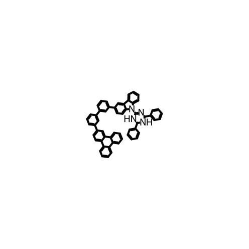 c1ccc(C2N=C(n3c4ccccc4c4cc(-c5cccc(-c6cccc(-c7ccc8c9ccccc9c9ccccc9c8c7)c6)c5)ccc43)NC(c3ccccc3)N2)cc1